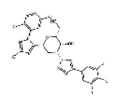 Cc1nc([C@H]2C[C@@H](n3cc(-c4cc(F)c(Cl)c(F)c4)nn3)[C@@H](O)[C@@H](CO)O2)n(-c2cc(Cl)ccc2Cl)n1